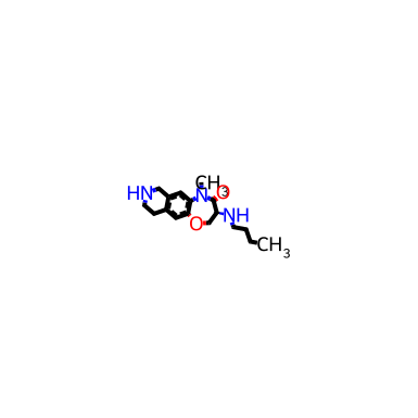 CCCCN[C@H]1COc2cc3c(cc2N(C)C1=O)CNCC3